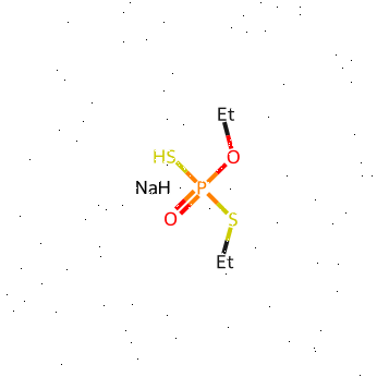 CCOP(=O)(S)SCC.[NaH]